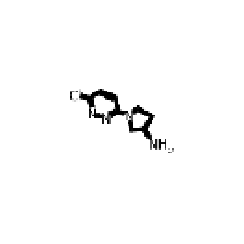 NC1CCN(c2ccc(Cl)nn2)C1